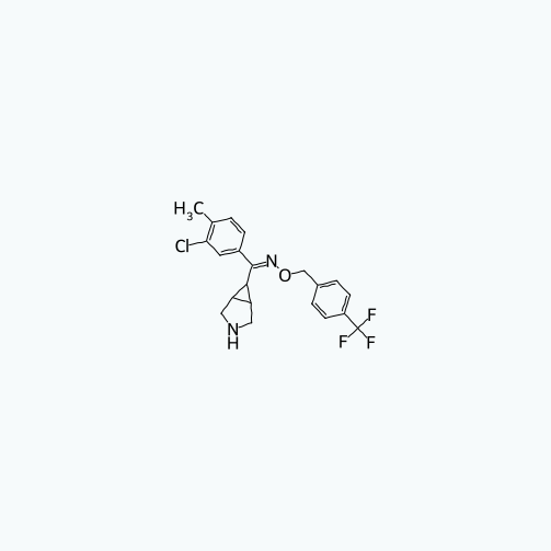 Cc1ccc(C(=NOCc2ccc(C(F)(F)F)cc2)C2C3CNCC32)cc1Cl